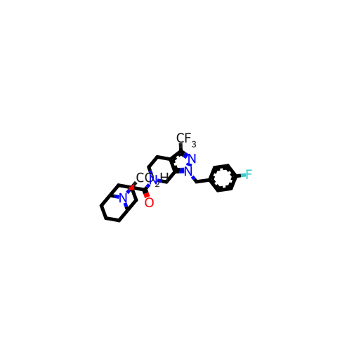 O=C(O)C1CC2CCCC(C1)N2CC(=O)N1CCc2c(C(F)(F)F)nn(Cc3ccc(F)cc3)c2C1